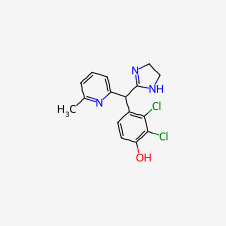 Cc1cccc(C(C2=NCCN2)c2ccc(O)c(Cl)c2Cl)n1